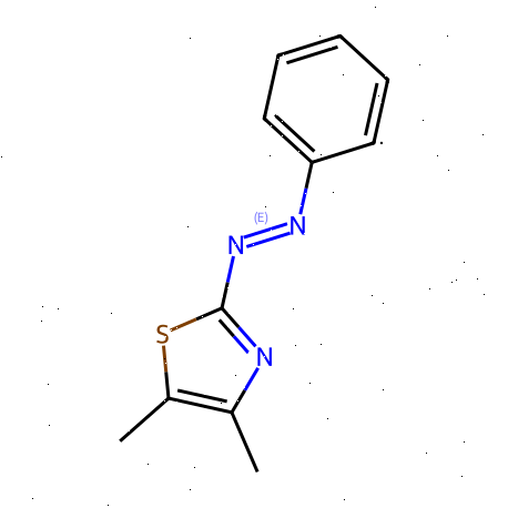 Cc1nc(/N=N/c2[c]cccc2)sc1C